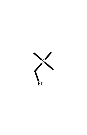 CCCS(C)(C)I